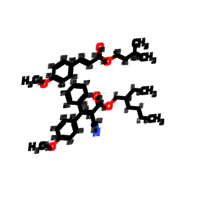 CCCCC(CC)COC(=O)C(C#N)=C(c1ccccc1)c1ccc(OC)cc1.COc1ccc(/C=C/C(=O)OCCC(C)C)cc1